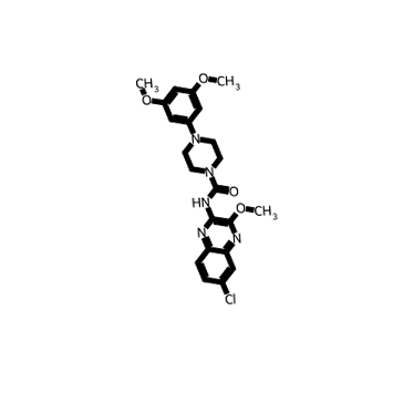 COc1cc(OC)cc(N2CCN(C(=O)Nc3nc4ccc(Cl)cc4nc3OC)CC2)c1